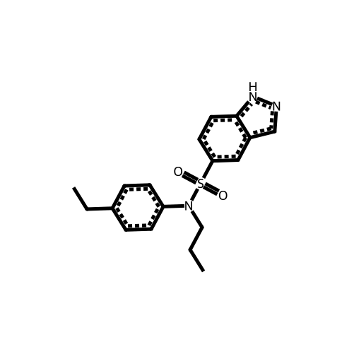 CCCN(c1ccc(CC)cc1)S(=O)(=O)c1ccc2[nH]ncc2c1